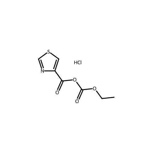 CCOC(=O)OC(=O)c1cscn1.Cl